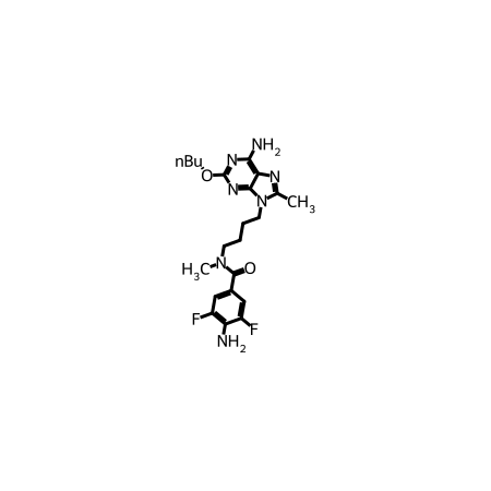 CCCCOc1nc(N)c2nc(C)n(CCCCN(C)C(=O)c3cc(F)c(N)c(F)c3)c2n1